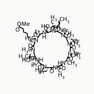 C/C=C/C[C@@H](C)[C@@H](O)[C@H]1C(=O)N[C@@H](CC)C(=O)N(C)[C@H](CSCCCCC(=O)OC)C(=O)N(C)[C@@H](CC(C)(C)O)C(=O)N[C@@H](C(C)C)C(=O)N(C)[C@@H](CC(C)C)C(=O)N[C@@H](C)C(=O)N[C@H](C)C(=O)N(C)[C@@H](CC(C)C)C(=O)N(C)[C@@H](CC(C)C)C(=O)N(C)[C@@H](C(C)C)C(=O)N1C